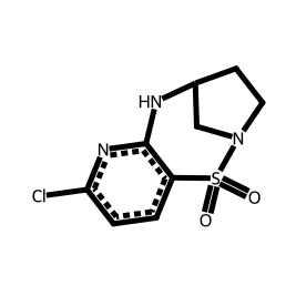 O=S1(=O)c2ccc(Cl)nc2NC2CCN1C2